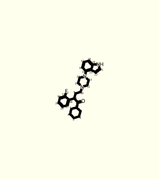 O=C(C1CCCCC1)C(CCN1CCN(c2cccc3[nH]ccc23)CC1)c1ccccc1F